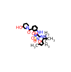 Cc1ccc([C@H](NC2=NS(=O)(=O)N=C2Nc2cccc(C(=O)N3CCCC(O)C3)c2O)C(C)(C)C)o1